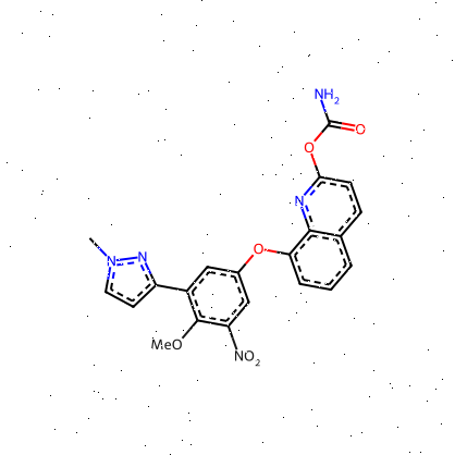 COc1c(-c2ccn(C)n2)cc(Oc2cccc3ccc(OC(N)=O)nc23)cc1[N+](=O)[O-]